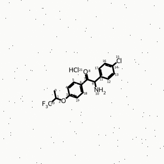 CC(Oc1ccc(C(=O)C(N)c2ccc(Cl)cc2)cc1)C(F)(F)F.Cl